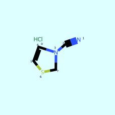 Cl.N#CN1C=CSC1